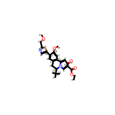 CCOC(=O)c1cn2c(cc1=O)-c1cc(OC)c(-c3cnc(COC)s3)cc1CC2C(C)(C)C